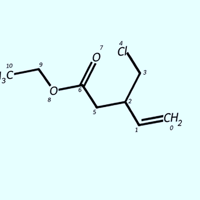 C=CC(CCl)CC(=O)OCC